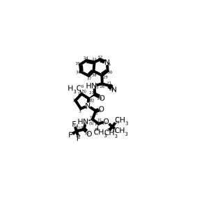 C[C@H]1CCN(C(=O)[C@@H](NC(=O)C(F)(F)F)[C@@H](C)OC(C)(C)C)[C@@H]1C(=O)NC(C#N)c1cncc2ccccc12